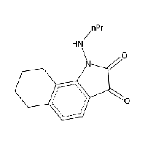 CCCNN1C(=O)C(=O)c2ccc3c(c21)CCCC3